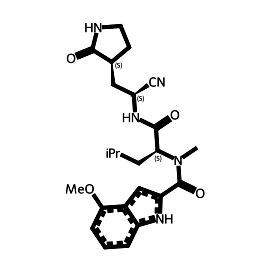 COc1cccc2[nH]c(C(=O)N(C)[C@@H](CC(C)C)C(=O)N[C@H](C#N)C[C@@H]3CCNC3=O)cc12